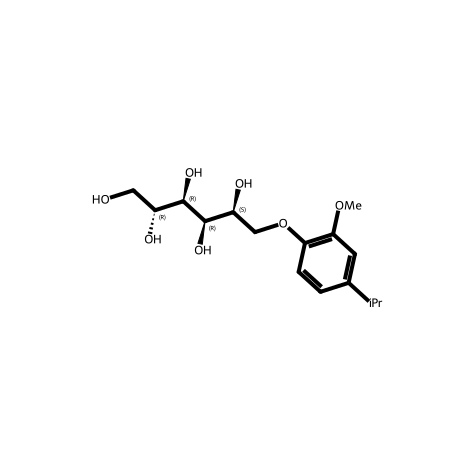 COc1cc(C(C)C)ccc1OC[C@H](O)[C@@H](O)[C@H](O)[C@H](O)CO